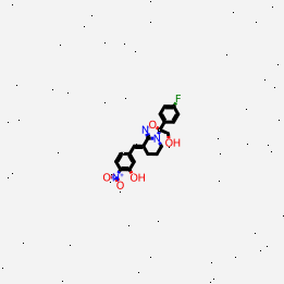 O=[N+]([O-])c1ccc(/C=C2\CCCN3C2=NOC3(CO)c2ccc(F)cc2)cc1O